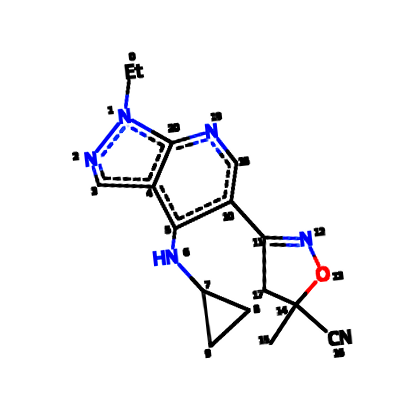 CCn1ncc2c(NC3CC3)c(C3=NOC(C)(C#N)C3)cnc21